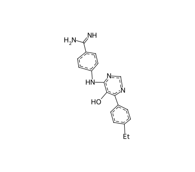 CCc1ccc(-c2ncnc(Nc3ccc(C(=N)N)cc3)c2O)cc1